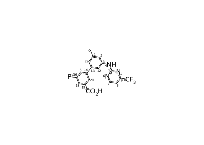 Cc1cc(Nc2nccc(C(F)(F)F)n2)cc(-c2cc(F)cc(C(=O)O)c2)c1